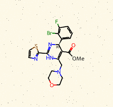 COC(=O)C1=C(CN2CCOCC2)NC(c2nccs2)=N[C@H]1c1cccc(F)c1Br